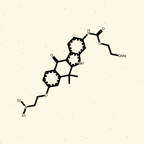 CCN(CC)CCOc1ccc2c(c1)C(C)(C)c1[nH]c3cc(NC(=O)OCCOC)ccc3c1C2=O